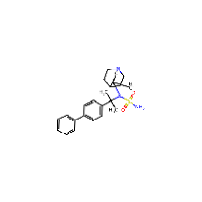 CC(C)(c1ccc(-c2ccccc2)cc1)N(C1(C)CN2CCC1CC2)S(N)(=O)=O